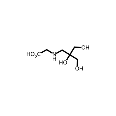 O=C(O)CNCC(O)(CO)CO